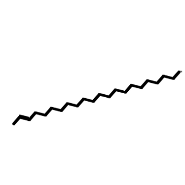 [CH2]CCCCCCCCCCCCCCCCCC/C=C/C